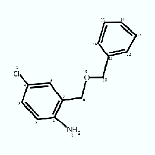 Nc1ccc(Cl)cc1COCc1ccccc1